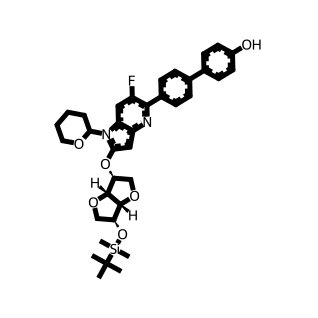 CC(C)(C)[Si](C)(C)O[C@@H]1CO[C@H]2[C@@H]1OC[C@H]2Oc1cc2nc(-c3ccc(-c4ccc(O)cc4)cc3)c(F)cc2n1C1CCCCO1